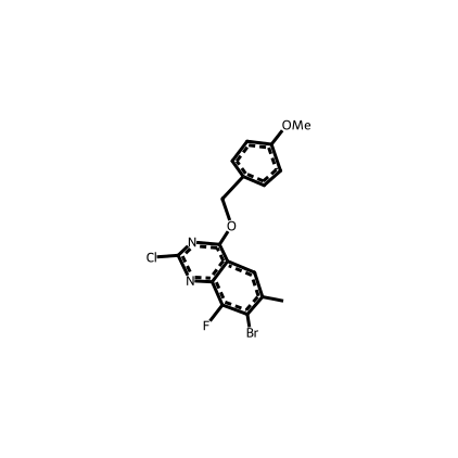 COc1ccc(COc2nc(Cl)nc3c(F)c(Br)c(C)cc23)cc1